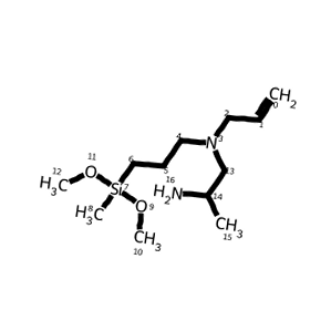 C=CCN(CCC[Si](C)(OC)OC)CC(C)N